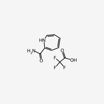 NC(=O)C1=CC=CC=CN1.O=C(O)C(F)(F)F